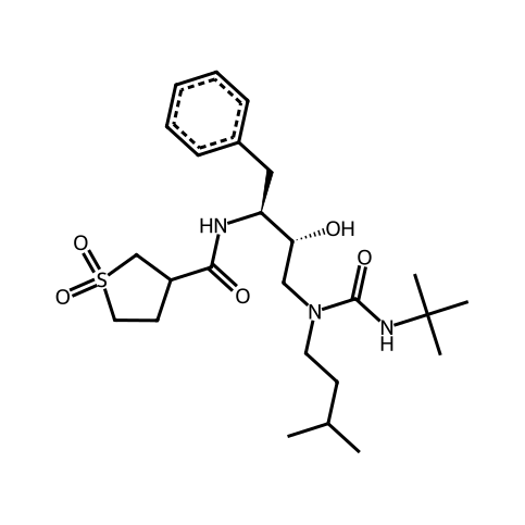 CC(C)CCN(C[C@@H](O)[C@H](Cc1ccccc1)NC(=O)C1CCS(=O)(=O)C1)C(=O)NC(C)(C)C